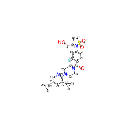 O=C(c1ccc(N2[C@H](CO)CCS2(=O)=O)cc1F)N1CCN(c2ncc(C3CC3)cc2C2CC2)CC1